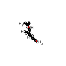 COc1ccc(CC(=O)Nc2ccc(C(=O)N(CC(=O)O)Cc3ccc(C(=O)NC4=CCC(c5ccc(C)cc5)C=C4)cc3)cc2)c(C(F)(F)F)c1